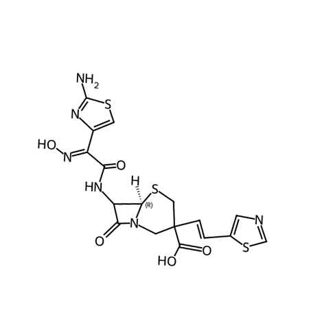 Nc1nc(C(=NO)C(=O)NC2C(=O)N3CC(C=Cc4cncs4)(C(=O)O)CS[C@H]23)cs1